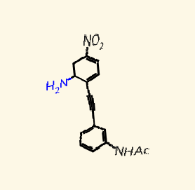 CC(=O)Nc1cccc(C#CC2=CC=C([N+](=O)[O-])CC2N)c1